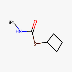 CC(C)NC(=O)SC1CCC1